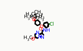 COc1cnc2c(C(=O)Nc3cc(Cl)ccc3OC3CCC(O[Si](C)(C)C(C)(C)C)CC3)cnn2c1